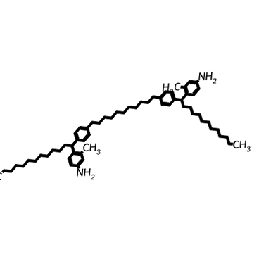 CCCCCCCCCCCCC(c1ccc(CCCCCCCCCCCc2ccc(C(CCCCCCCCCCCC)c3ccc(N)cc3C)cc2)cc1)c1ccc(N)cc1C